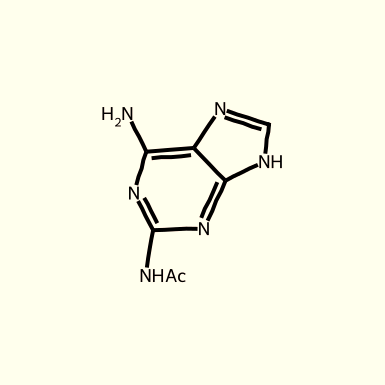 CC(=O)Nc1nc(N)c2nc[nH]c2n1